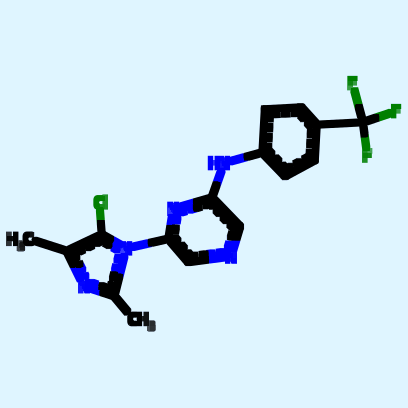 Cc1nc(C)n(-c2cncc(Nc3ccc(C(F)(F)F)cc3)n2)c1Cl